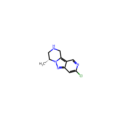 C[C@@H]1CNCc2c3cnc(Cl)cc3nn21